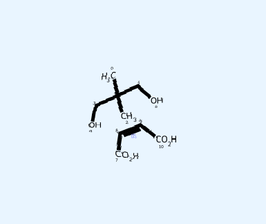 CC(C)(CO)CO.O=C(O)/C=C\C(=O)O